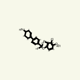 CCCC1CC=C(c2ccc(C(F)(F)Oc3ccc(OCC)c(Cl)c3F)cc2)CC1